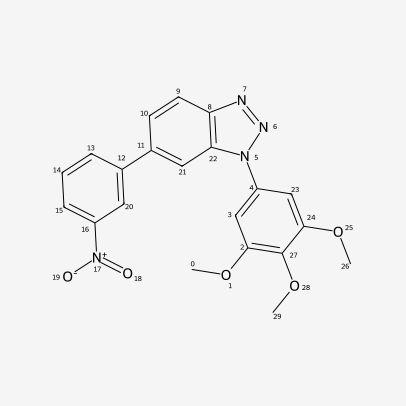 COc1cc(-n2nnc3ccc(-c4cccc([N+](=O)[O-])c4)cc32)cc(OC)c1OC